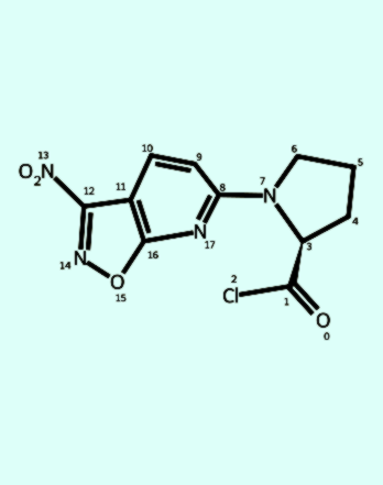 O=C(Cl)[C@@H]1CCCN1c1ccc2c([N+](=O)[O-])noc2n1